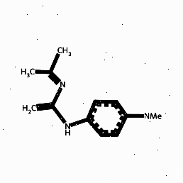 C=C(N=C(C)C)Nc1ccc(NC)cc1